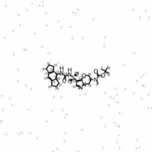 CN(C(=O)OC(C)(C)C)[C@H]1COc2c(S(=O)(=O)NC(=O)Nc3c4c(cc5c3CCC5)CCC4)cnn2C1